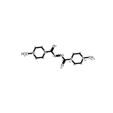 CN1CCN(C(=O)N=NC(=O)N2CCN(C)CC2)CC1